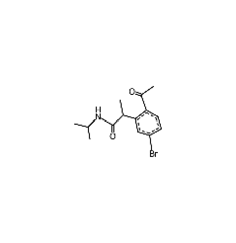 CC(=O)c1ccc(Br)cc1C(C)C(=O)NC(C)C